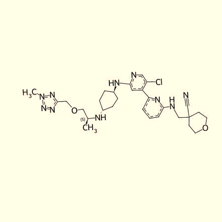 C[C@@H](COCc1nnn(C)n1)N[C@H]1CC[C@H](Nc2cc(-c3cccc(NCC4(C#N)CCOCC4)n3)c(Cl)cn2)CC1